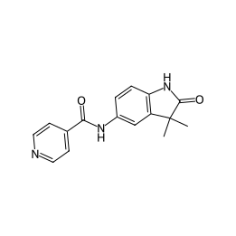 CC1(C)C(=O)Nc2ccc(NC(=O)c3ccncc3)cc21